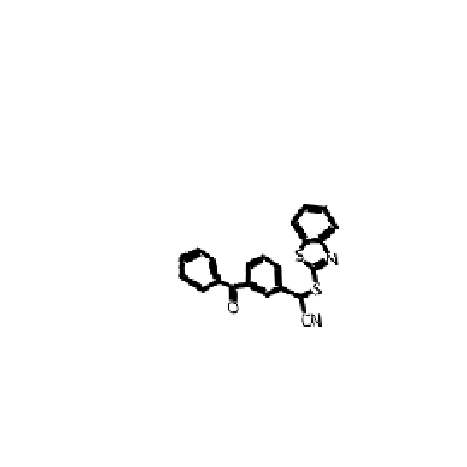 N#CC(Sc1nc2ccccc2s1)c1cccc(C(=O)c2ccccc2)c1